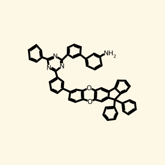 Nc1cccc(-c2cccc(-c3nc(-c4ccccc4)nc(-c4cccc(-c5ccc6c(c5)Oc5cc7c(cc5O6)C(c5ccccc5)(c5ccccc5)c5ccccc5-7)c4)n3)c2)c1